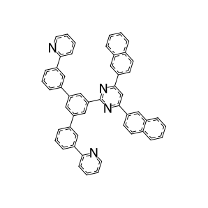 c1ccc(-c2cccc(-c3cc(-c4cccc(-c5ccccn5)c4)cc(-c4nc(-c5ccc6ccccc6c5)cc(-c5ccc6ccccc6c5)n4)c3)c2)nc1